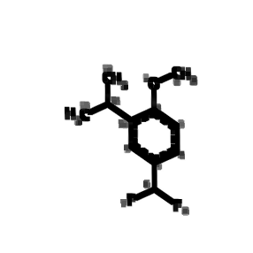 COc1ccc(C(F)F)cc1C(C)C